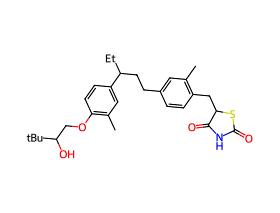 CCC(CCc1ccc(CC2SC(=O)NC2=O)c(C)c1)c1ccc(OCC(O)C(C)(C)C)c(C)c1